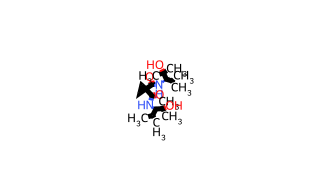 CC(C)[C@@H](NC(=O)C1(C(=O)N[C@H](C(C)C)C(C)(C)O)CC1)C(C)(C)O